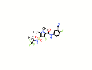 Cc1c(S(=O)(=O)N[C@H](C)C(F)(F)F)c(F)c(C(=O)Nc2ccc(F)c(C#N)c2)n1C